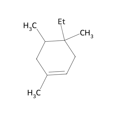 CCC1(C)CC=C(C)CC1C